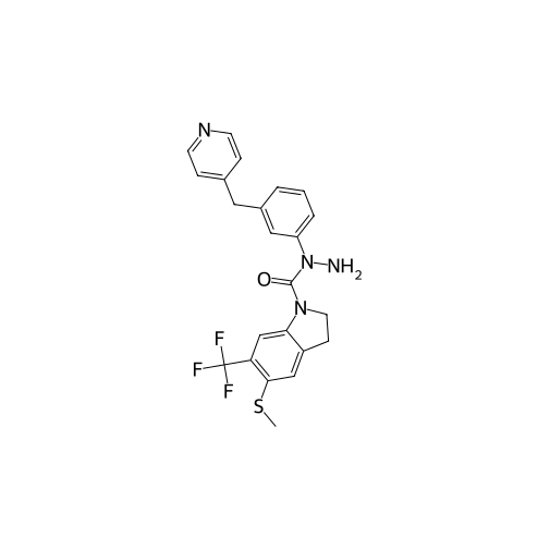 CSc1cc2c(cc1C(F)(F)F)N(C(=O)N(N)c1cccc(Cc3ccncc3)c1)CC2